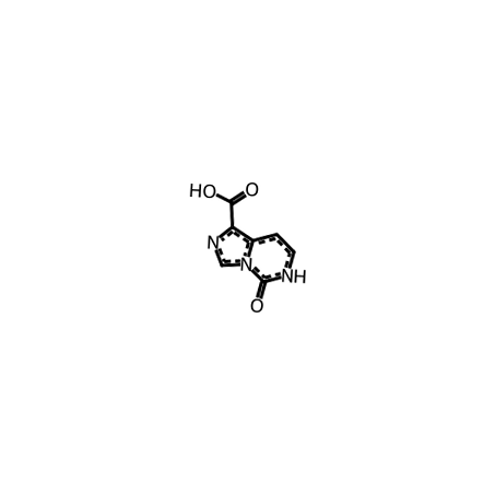 O=C(O)c1ncn2c(=O)[nH]ccc12